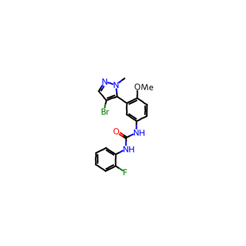 COc1ccc(NC(=O)Nc2ccccc2F)cc1-c1c(Br)cnn1C